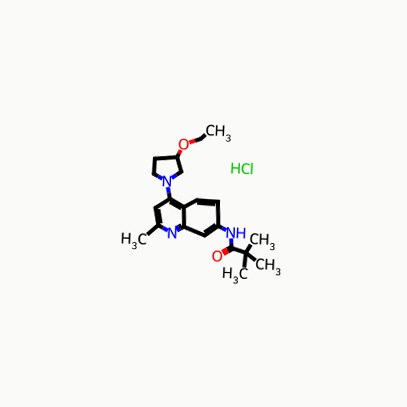 CCOC1CCN(c2cc(C)nc3cc(NC(=O)C(C)(C)C)ccc23)C1.Cl